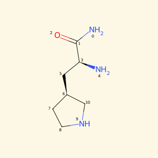 NC(=O)[C@@H](N)C[C@@H]1CCNC1